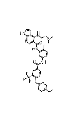 CCN1CCN(Cc2ccc(C(=O)Nc3ccc(C)c(NC(=O)c4cnc5[nH]ccc5c4NCCN(C)C)c3)cc2C(F)(F)F)CC1